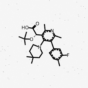 Cc1ccc(-c2c(C)nc(C)c([C@H](OC(C)(C)C)C(=O)O)c2N2CCC(C)(C)CC2)cc1F